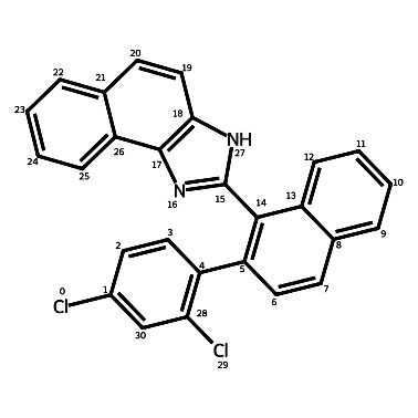 Clc1ccc(-c2ccc3ccccc3c2-c2nc3c(ccc4ccccc43)[nH]2)c(Cl)c1